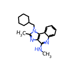 CNc1nc2ccccc2c2c1nc(C)n2CC1CCCCC1